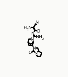 N#C/C(N)=C(Cl)/N=C(\N)N1CC2CC(N3CC4CCCN4C3=O)C1C2